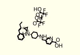 CCC(=Cc1ccccc1)[C@@H]1C[C@H]1N[C@H]1CC[C@H](NCc2ccc(C(=O)O)nc2)CC1.O=C(O)C(F)(F)F.O=C(O)C(F)(F)F